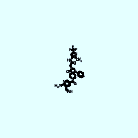 Cn1nc(C(F)(F)F)cc1NC(=O)CN1CN(c2ccccc2)C2(CCN(C(=O)c3cnc(N)c(C=N)c3)CC2)C1=O